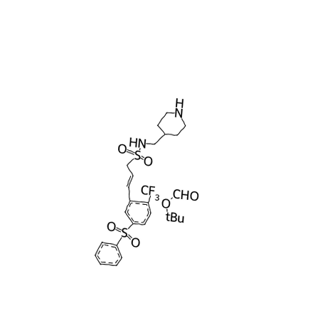 CC(C)(C)OC=O.O=S(=O)(CC=Cc1cc(S(=O)(=O)c2ccccc2)ccc1C(F)(F)F)NCC1CCNCC1